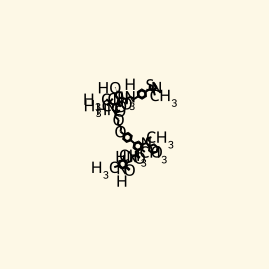 CCN(c1cc(-c2ccc(OCCOCC(=O)NC(C(=O)N3C[C@H](O)C[C@H]3C(=O)NCc3ccc(-c4scnc4C)cc3)C(C)(C)C)cc2)cc(C(=O)NCc2c(C)cc(C)[nH]c2=O)c1C)C1CCOCC1